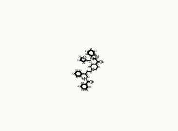 CN(CC(CCN1CCC(C(=O)c2nc3ccccc3n2Cc2ccco2)CC1)c1ccccc1)C(=O)c1ccccc1